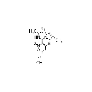 CCCCCC1=C([N+](=O)[O-])C(NC(C)C)N(N)C(OC)=N1